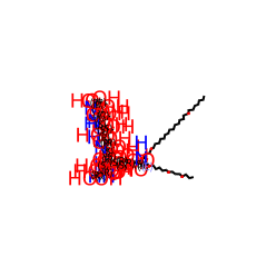 CCCCCCCCCCCCC/C=C/[C@@H](O)[C@H](CO[C@@H]1OC(CO)[C@@H](O[C@@H]2OC(CO)[C@H](O[C@@H]3OC(CO)[C@H](O)[C@H](O[C@@H]4OC(CO)[C@H](O)[C@H](O[C@@H]5OC(CO)[C@H](O)[C@H](O[C@H]6OC(CO)[C@H](O)[C@H](O)C6NC(C)=O)C5NC(C)=O)C4O)C3NC(C)=O)[C@H](O[C@]3(C(=O)O)CC(O)[C@@H](NC(C)=O)C([C@H](O)[C@H](O)CO)O3)C2O)[C@H](O)C1O)NC(=O)CCCCCCCCCCCCCCCCCCCCCCCCC